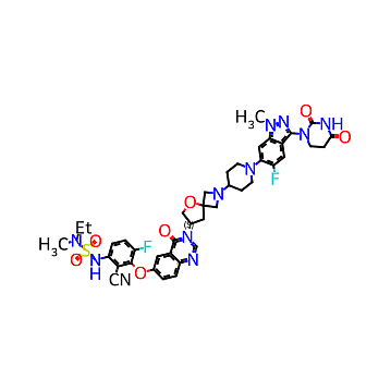 CCN(C)S(=O)(=O)Nc1ccc(F)c(Oc2ccc3ncn([C@@H]4COC5(C4)CN(C4CCN(c6cc7c(cc6F)c(N6CCC(=O)NC6=O)nn7C)CC4)C5)c(=O)c3c2)c1C#N